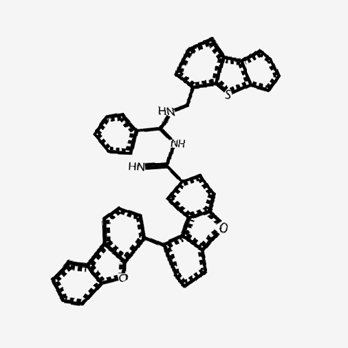 N=C(NC(NCc1cccc2c1sc1ccccc12)c1ccccc1)c1ccc2oc3cccc(-c4cccc5c4oc4ccccc45)c3c2c1